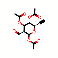 C#C[C@@H]1OC(OC(C)=O)[C@@H](C=O)C(OC(C)=O)[C@@H]1OC(C)=O